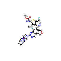 CN1CC2CCC(C1)N2[C@@H]1CCN(c2ncc3c4c(c(-c5ncc(F)c6sc(NC(=O)OC(C)(C)C)c(C#N)c56)c(F)c3n2)COC4)C1